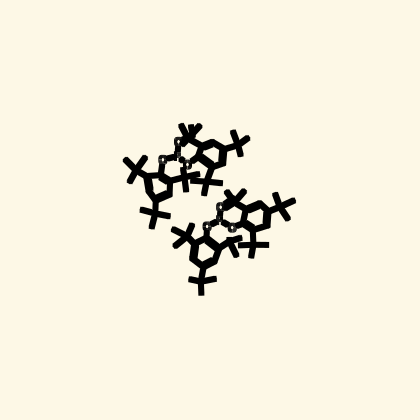 CCOP(Oc1c(C(C)(C)C)cc(C(C)(C)C)cc1C(C)(C)C)Oc1c(C(C)(C)C)cc(C(C)(C)C)cc1C(C)(C)C.COP(Oc1c(C(C)(C)C)cc(C(C)(C)C)cc1C(C)(C)C)Oc1c(C(C)(C)C)cc(C(C)(C)C)cc1C(C)(C)C